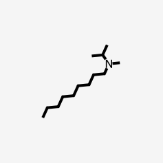 CCCCCCCCCN(C)C(C)C